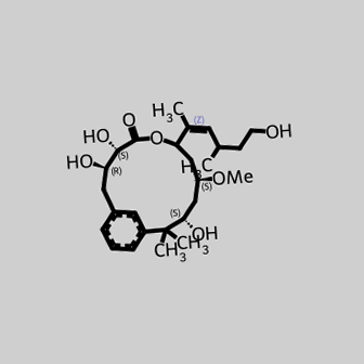 CO[C@@H]1CC(/C(C)=C\C(C)CCO)OC(=O)[C@@H](O)[C@H](O)Cc2cccc(c2)C(C)(C)[C@@H](O)C1